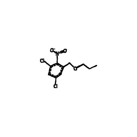 CCCOCc1cc(Cl)cc(Cl)c1[N+](=O)[O-]